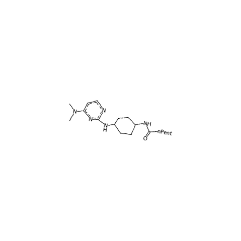 CCCCCC(=O)NC1CCC(Nc2nccc(N(C)C)n2)CC1